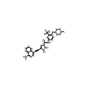 CNc1ncc(C#CC2=CC(C(=O)Nc3ccc(CN4CCN(C)CC4)c(C(F)(F)F)c3)NN2C)c2ccccc12